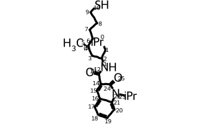 CC(C)CC(C[C@@H](C)CCCCS)NC(=O)c1cc2ccccc2n(C(C)C)c1=O